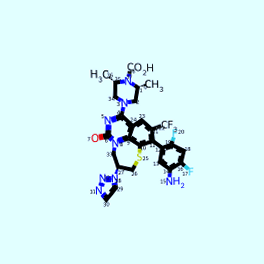 C[C@@H]1CN(c2nc(=O)n3c4c(c(-c5cc(N)c(F)cc5F)c(C(F)(F)F)cc24)SC[C@@H](n2ccnn2)C3)C[C@H](C)N1C(=O)O